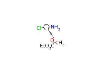 CCOC(=O)C(C)OCC#Cc1cc(Cl)ccc1N